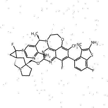 C[C@H](c1cccnc1N)N1CCOc2c(C(F)(F)F)c(-c3ccc(F)c4sc(N)c(C#N)c34)c(F)c3nc(OC[C@@]45CCCN4C[C@@]4(CC4(F)F)C5)nc1c23